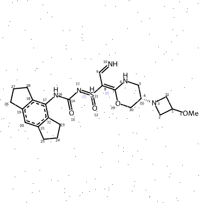 COC1CN([C@H]2CN/C(=C(C=N)/[SH](=O)=N/C(=O)Nc3c4c(cc5c3CCC5)CCC4)OC2)C1